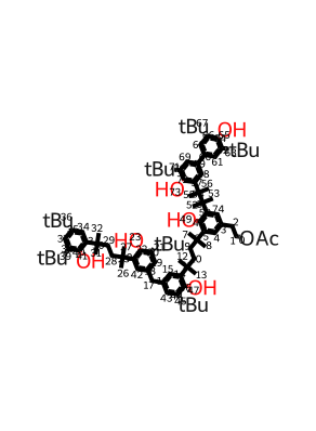 CC(=O)OCCc1cc(C(C)(C)CCC(C)(C)c2cc(Cc3cc(C(C)(C)C)c(O)c(C(C)(C)CCC(C)(C)c4cc(C(C)(C)C)cc(C(C)(C)C)c4O)c3)cc(C(C)(C)C)c2O)c(O)c(C(C)(C)C(C)(C)c2cc(-c3cc(C(C)(C)C)c(O)c(C(C)(C)C)c3)cc(C(C)(C)C)c2O)c1